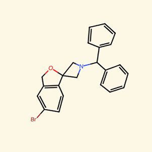 Brc1ccc2c(c1)COC21CN(C(c2ccccc2)c2ccccc2)C1